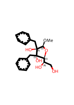 CO[C@H]1O[C@@H]([C@H](O)CO)[C@@](O)(Cc2ccccc2)[C@]1(O)Cc1ccccc1